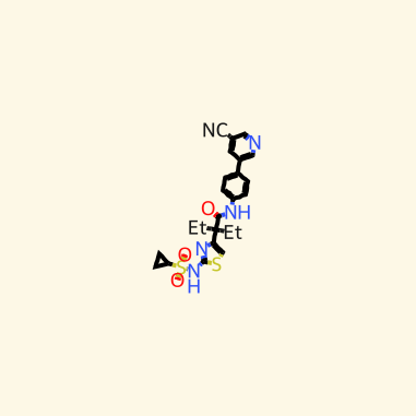 CCC(CC)(C(=O)Nc1ccc(-c2cncc(C#N)c2)cc1)c1csc(NS(=O)(=O)C2CC2)n1